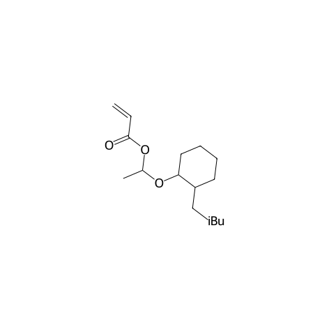 C=CC(=O)OC(C)OC1CCCCC1CC(C)CC